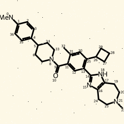 CNc1ccc(C2CCN(C(=O)c3cc(-c4nc5c([nH]4)CCN(C)CC5)c(C4CCC4)cc3C)CC2)cc1